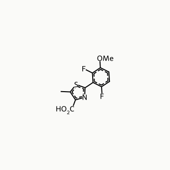 COc1ccc(F)c(-c2nc(C(=O)O)c(C)s2)c1F